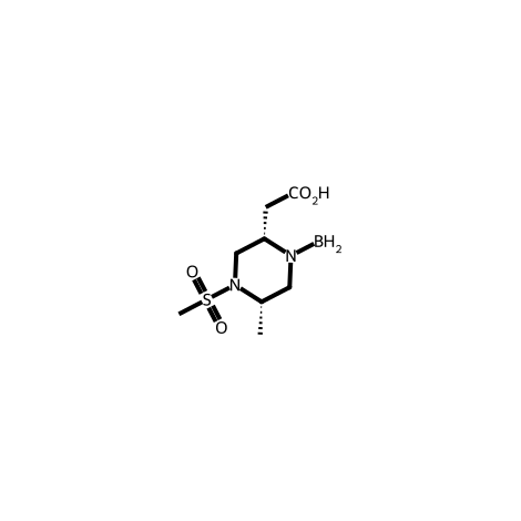 BN1C[C@H](C)N(S(C)(=O)=O)C[C@@H]1CC(=O)O